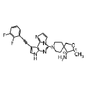 C[C@@H]1OCC2(CCN(c3nc4[nH]cc(C#Cc5cccc(F)c5F)c4c4nccn34)CC2)[C@@H]1N